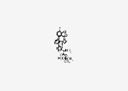 CC(C)(C)OC(=O)C(N)c1nc(-c2ncn3c2[C@@H]2CCN2C(=O)c2c-3ccc(F)c2Cl)no1